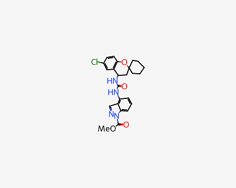 COC(=O)n1ncc2c(NC(=O)NC3CC4(CCCCC4)Oc4ccc(Cl)cc43)cccc21